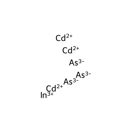 [As-3].[As-3].[As-3].[Cd+2].[Cd+2].[Cd+2].[In+3]